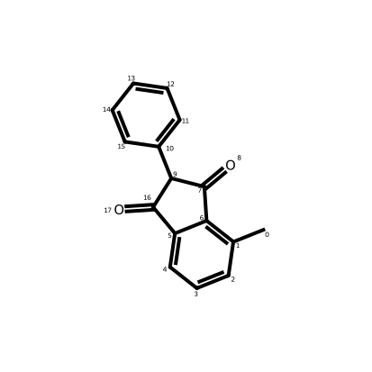 Cc1cccc2c1C(=O)C(c1ccccc1)C2=O